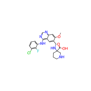 COc1cc2ncnc(Nc3cccc(Cl)c3F)c2cc1CNC1(C(=O)O)CCCNC1